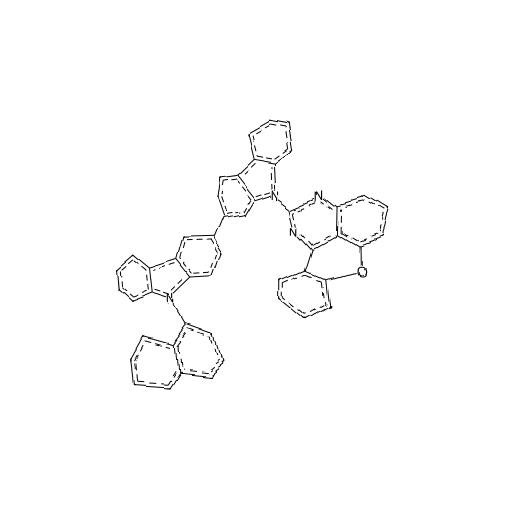 c1ccc2c(c1)Oc1cccc3nc(-n4c5ccccc5c5ccc(-c6ccc7c(c6)c6ccccc6n7-c6cccc7ccccc67)cc54)nc-2c13